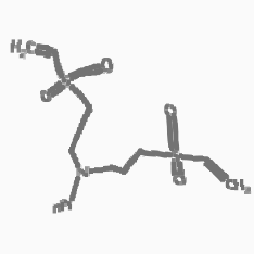 C=CS(=O)(=O)CCN(CCC)CCS(=O)(=O)C=C